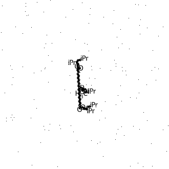 CC(C)CCC(COC(=O)CCCCCCCCCC(CCCCCCCCCC(=O)OCC(CCC(C)C)C(C)C)OC(=O)CN(C)C(C)C)C(C)C